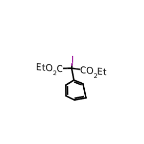 CCOC(=O)C(I)(C(=O)OCC)c1ccccc1